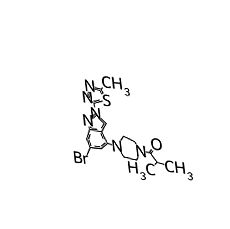 Cc1nnc(-n2cc3c(N4CCN(C(=O)C(C)C)CC4)cc(Br)cc3n2)s1